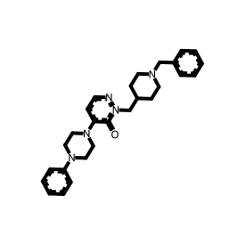 O=c1c(N2CCN(c3ccccc3)CC2)ccnn1CC1CCN(Cc2ccccc2)CC1